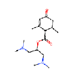 CC1=CC(=O)CC(C)C1C(=O)OC(CN(C)C)CN(C)C